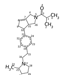 CC(C)C(=O)N1CC2=CCC(c3ccc(CCN4CCCC4C)cc3)C2C1